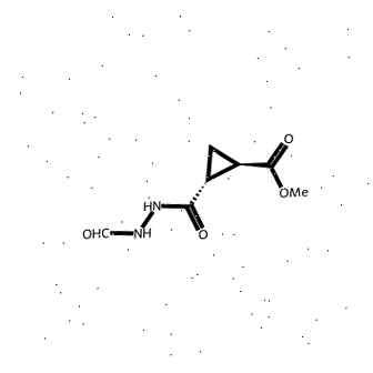 COC(=O)[C@@H]1C[C@H]1C(=O)NNC=O